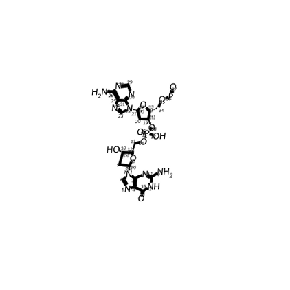 Nc1nc2c(ncn2[C@H]2C[C@H](O)[C@@H](COP(=O)(O)O[C@H]3C[C@H](n4cnc5c(N)ncnc54)O[C@@H]3COP=O)O2)c(=O)[nH]1